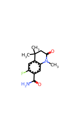 CN1C(=O)CC(C)(C)c2cc(F)c(C(N)=O)cc21